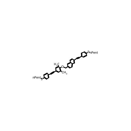 CCCCCSc1ccc(C#Cc2cc(C)c(OCc3ccc4cc(C#Cc5ccc(SCCCCC)cc5)ccc4c3)c(C)c2)cc1